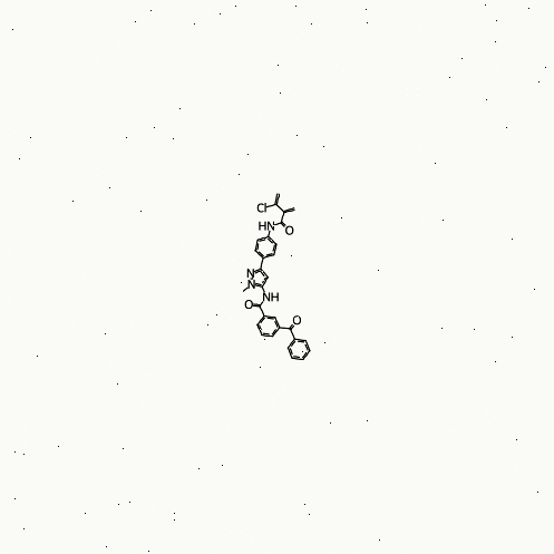 C=C(Cl)C(=C)C(=O)Nc1ccc(-c2cc(NC(=O)c3cccc(C(=O)c4ccccc4)c3)n(C)n2)cc1